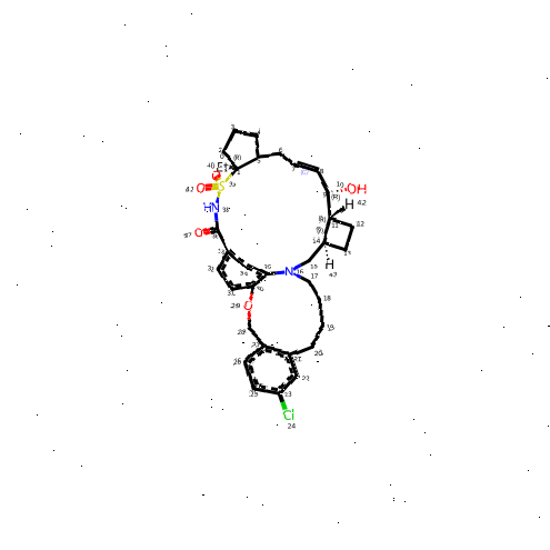 CC[C@@]12CCCC1C/C=C/[C@H](O)[C@@H]1CC[C@H]1CN1CCCCc3cc(Cl)ccc3COc3ccc(cc31)C(=O)NS2(=O)=O